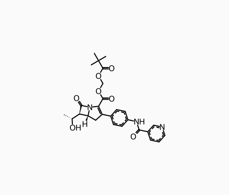 C[C@@H](O)[C@H]1C(=O)N2C(C(=O)OCOC(=O)C(C)(C)C)=C(c3ccc(NC(=O)c4cccnc4)cc3)C[C@H]12